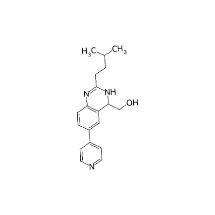 CC(C)CCC1=Nc2ccc(-c3ccncc3)cc2C(CO)N1